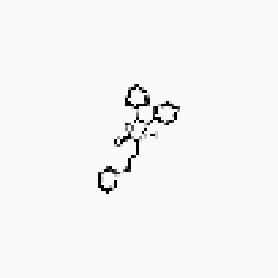 O=C1OC(c2ccccc2)C(c2ccccc2)NC1C/C=C/c1ccccc1